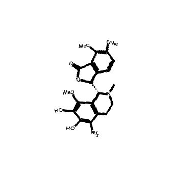 COc1ccc2c(c1OC)C(=O)OC2[C@H]1c2c(c(N)c(O)c(O)c2OC)CCN1C